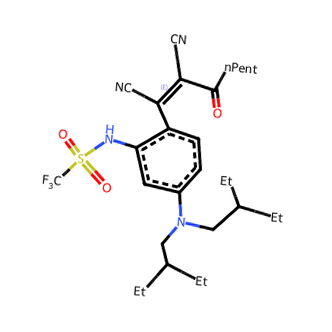 CCCCCC(=O)/C(C#N)=C(/C#N)c1ccc(N(CC(CC)CC)CC(CC)CC)cc1NS(=O)(=O)C(F)(F)F